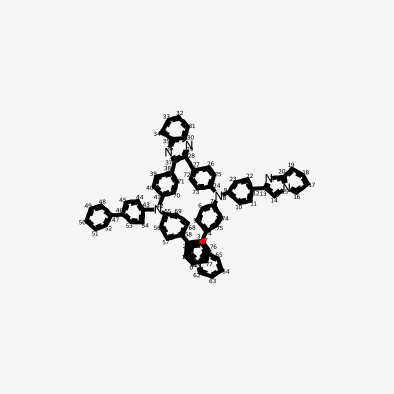 c1ccc(-c2ccc(N(c3ccc(-c4cn5ccccc5n4)cc3)c3ccc(-c4nc5ccccc5nc4-c4ccc(N(c5ccc(-c6ccccc6)cc5)c5ccc(-c6cn7ccccc7n6)cc5)cc4)cc3)cc2)cc1